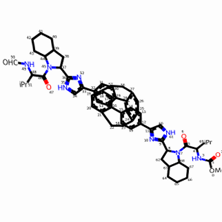 COC(=O)NC(C(=O)N1C(c2nc(-c3ccc(-c4cc5ccc4CCc4ccc(c(-c6ccc(-c7c[nH]c(C8CC9CCCCC9N8C(=O)C(NC=O)C(C)C)n7)cc6)c4)CC5)cc3)c[nH]2)CC2CCCCC21)C(C)C